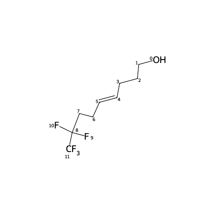 OCCC/C=C/CCC(F)(F)C(F)(F)F